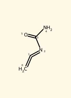 C=C=NC(N)=O